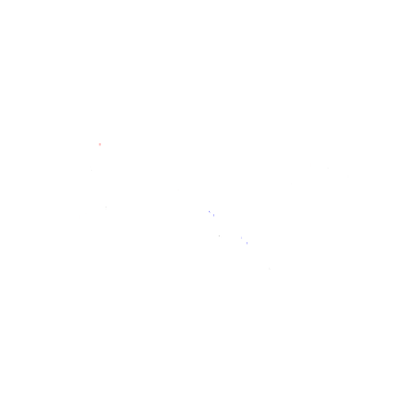 COc1ccc(N(C)C(=O)Nc2cc3oc(=O)c(C(=O)O)cc3s2)cc1C